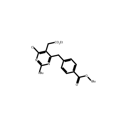 CCCCc1nc(Cl)c(CC(=O)OCC)c(Cc2ccc(C(=O)OC(C)(C)C)cc2)n1